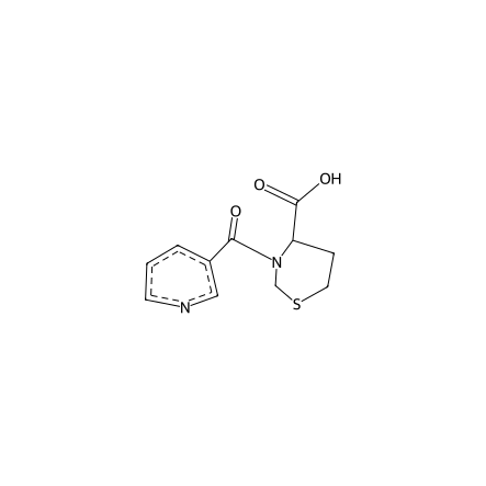 O=C(O)C1CCSCN1C(=O)c1cccnc1